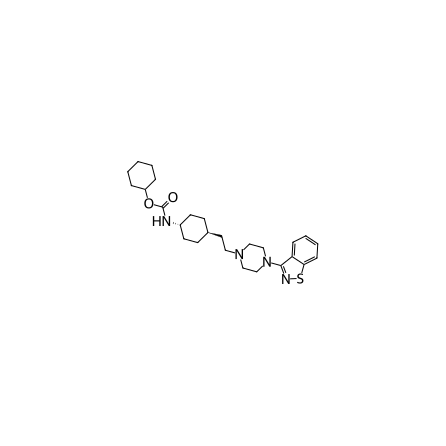 O=C(N[C@H]1CC[C@H](CCN2CCN(c3nsc4ccccc34)CC2)CC1)OC1CCCCC1